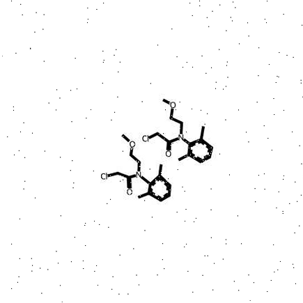 COCCN(C(=O)CCl)c1c(C)cccc1C.COCCN(C(=O)CCl)c1c(C)cccc1C